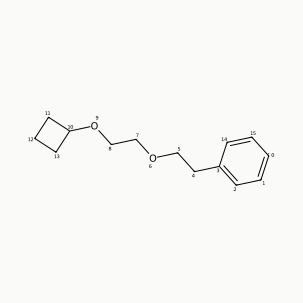 [c]1ccc(CCOCCOC2CCC2)cc1